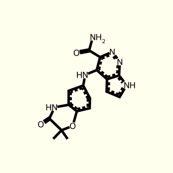 CC1(C)Oc2ccc(Nc3c(C(N)=O)nnc4[nH]ccc34)cc2NC1=O